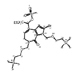 CCOC(=O)C(OS(C)(=O)=O)C1=CCN(COCC[Si](C)(C)C)C(=O)c2c1cc(Br)n2COCC[Si](C)(C)C